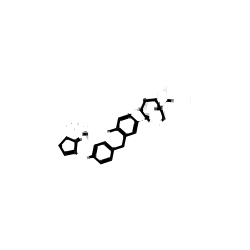 CON=C1CCC=C1Oc1ccc(Cc2cc([C@]34OC[C@](CO)(O3)[C@@H](O)[C@H](O)[C@H]4O)ccc2Cl)cc1